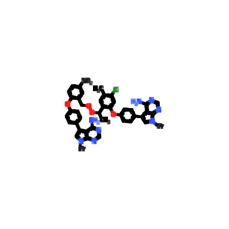 Cc1cc(C(C)OOCc2cc([N+](=O)[O-])ccc2Oc2ccc(-c3cn(C(C)C)c4ncnc(N)c34)cc2)c(Oc2ccc(-c3cn(C(C)C)c4ncnc(N)c34)cc2)cc1Cl